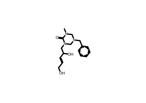 CN1CN(Cc2ccccc2)CN(CC(O)/C=C/CO)C1=O